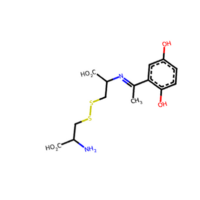 C/C(=N\C(CSSCC(N)C(=O)O)C(=O)O)c1cc(O)ccc1O